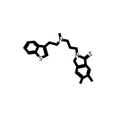 Cc1cc2c(cc1C)C(=S)N(CCCN(C)CCc1csc3ccccc13)C2